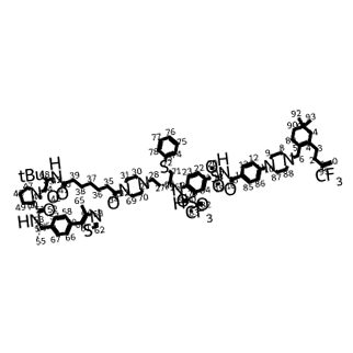 C=C(CCC1=C(CN2CCN(c3ccc(C(=O)NS(=O)(=O)c4ccc(N[C@H](CCN5CCN(C(=O)CCCCCC(=O)NC(C(=O)N6CCC[C@H]6C(=O)N[C@@H](C)c6ccc(-c7scnc7C)cc6)C(C)(C)C)CC5)CSc5ccccc5)c(S(=O)(=O)C(F)(F)F)c4)cc3)CC2)CCC(C)(C)C1)C(F)(F)F